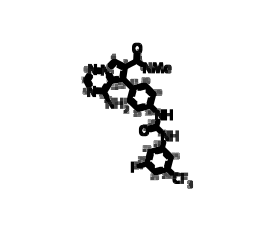 CNC(=O)c1cn2ncnc(N)c2c1-c1ccc(NC(=O)Nc2cc(F)cc(C(F)(F)F)c2)cc1